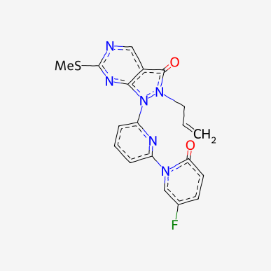 C=CCn1c(=O)c2cnc(SC)nc2n1-c1cccc(-n2cc(F)ccc2=O)n1